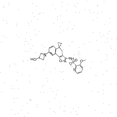 COc1cccnc1S(=O)(=O)Nc1noc2c1CC1(CC1)c1ccc(N3CC(O)C3)cc1-2